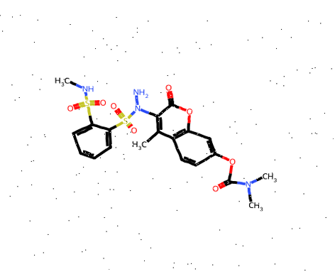 CNS(=O)(=O)c1ccccc1S(=O)(=O)N(N)c1c(C)c2ccc(OC(=O)N(C)C)cc2oc1=O